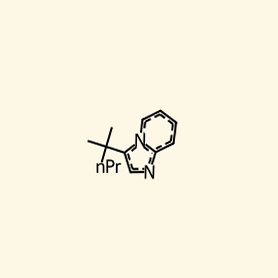 CCCC(C)(C)c1cnc2ccccn12